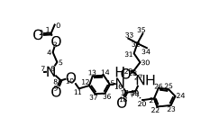 CC(=O)OCCN(C)C(=O)OCc1ccc(NC(=O)[C@@H](Cc2ccccc2)NC(=O)CCC(C)(C)C)cc1